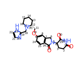 O=C1CCC(N2Cc3cc(OC[C@H]4CCCCN4Cc4ncc[nH]4)ccc3C2=O)C(=O)N1